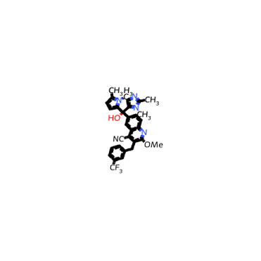 COc1nc2ccc(C(O)(c3ccc(C)n3C)c3cnc(C)n3C)cc2c(C#N)c1Cc1cccc(C(F)(F)F)c1